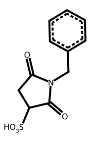 O=C1CC(S(=O)(=O)O)C(=O)N1Cc1ccccc1